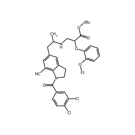 CCOc1ccccc1OC(CNC(C)Cc1cc(C#N)c2c(c1)CCN2C(=O)c1ccc(Cl)c(Cl)c1)C(=O)OC(C)(C)C